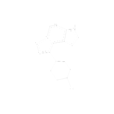 OC1CCC(c2nnn3cnc4[nH]ccc4c23)CC1